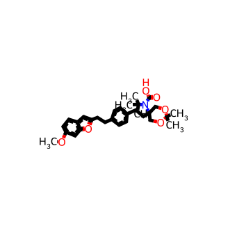 COc1ccc2cc(CCc3ccc(CCC4(N(C(=O)O)C(C)(C)C)COC(C)(C)OC4)cc3)oc2c1